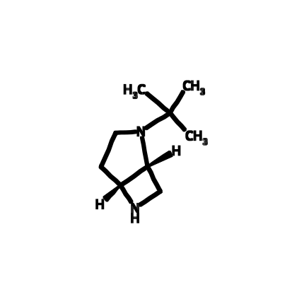 CC(C)(C)N1CC[C@H]2NC[C@H]21